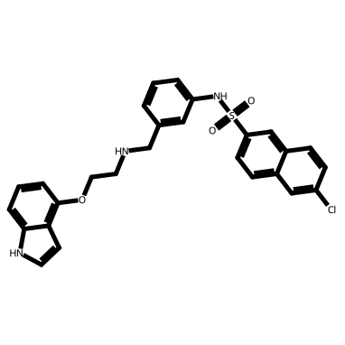 O=S(=O)(Nc1cccc(CNCCOc2cccc3[nH]ccc23)c1)c1ccc2cc(Cl)ccc2c1